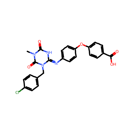 Cn1c(=O)[nH]/c(=N\c2ccc(Oc3ccc(C(=O)O)cc3)cc2)n(Cc2ccc(Cl)cc2)c1=O